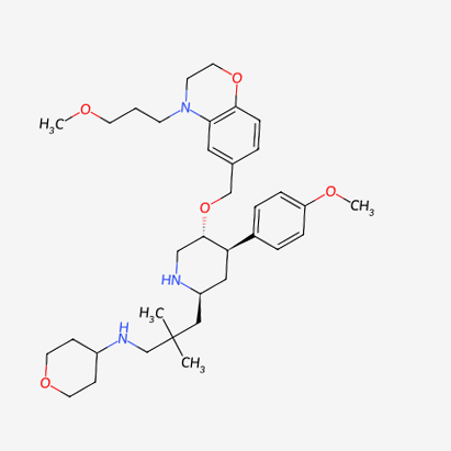 COCCCN1CCOc2ccc(CO[C@H]3CN[C@H](CC(C)(C)CNC4CCOCC4)C[C@@H]3c3ccc(OC)cc3)cc21